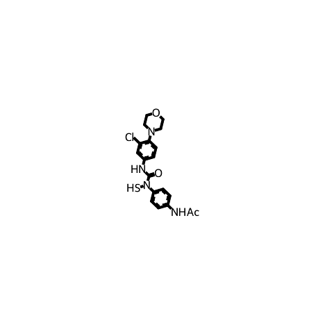 CC(=O)Nc1ccc(N(S)C(=O)Nc2ccc(N3CCOCC3)c(Cl)c2)cc1